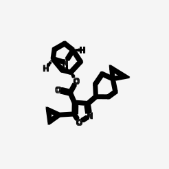 O=C(O[C@@H]1C[C@H]2CC[C@@H](C1)N2)c1c(C2CCC3(CC2)CC3)noc1C1CC1